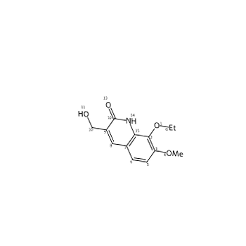 CCOc1c(OC)ccc2cc(CO)c(=O)[nH]c12